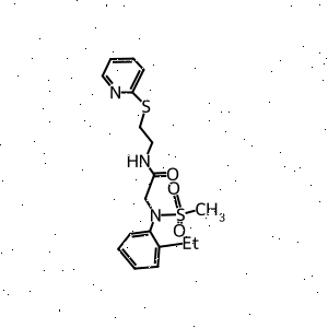 CCc1ccccc1N(CC(=O)NCCSc1ccccn1)S(C)(=O)=O